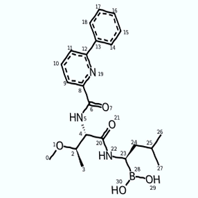 CO[C@H](C)[C@H](NC(=O)c1cccc(-c2ccccc2)n1)C(=O)N[C@@H](CC(C)C)B(O)O